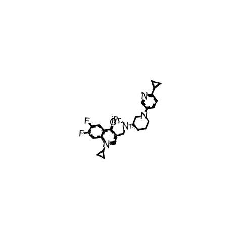 CC(C)N(Cc1cn(C2CC2)c2cc(F)c(F)cc2c1=O)[C@H]1CCCN(c2ccc(C3CC3)nc2)C1